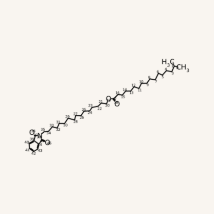 CC(C)CCCCCCCCCCCCCCC(=O)OCCCCCCCCCCCCCCCCN1C(=O)c2ccccc2C1=O